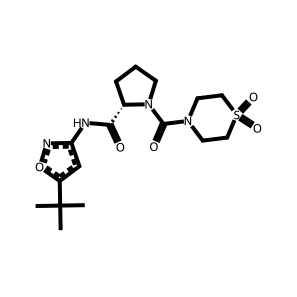 CC(C)(C)c1cc(NC(=O)[C@@H]2CCCN2C(=O)N2CCS(=O)(=O)CC2)no1